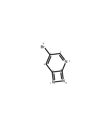 Brc1cnc2c(c1)=NN=2